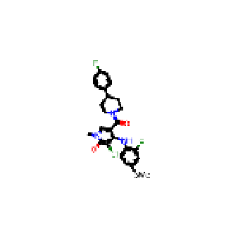 CSc1ccc(Nc2c(C(=O)N3CCC(c4ccc(F)cc4)CC3)cn(C)c(=O)c2Cl)c(F)c1